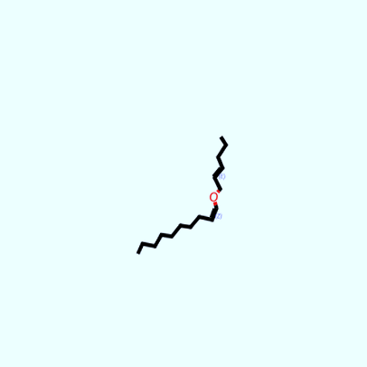 CCC/C=C/CO/C=C\CCCCCCCC